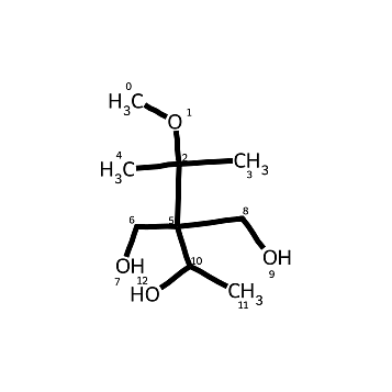 COC(C)(C)C(CO)(CO)C(C)O